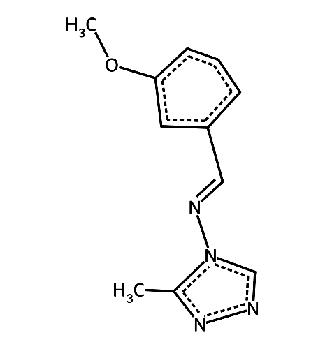 COc1cccc(C=Nn2cnnc2C)c1